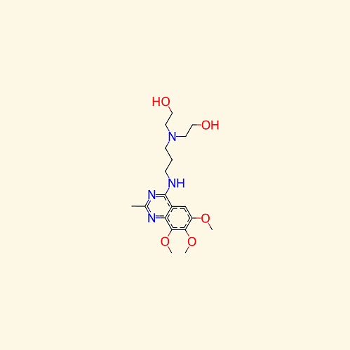 COc1cc2c(NCCCN(CCO)CCO)nc(C)nc2c(OC)c1OC